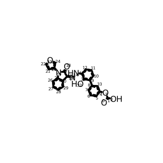 O=C(O)Oc1cccc(-c2cccc(NN=C3C(=O)N(c4ccoc4)c4ccccc43)c2O)c1